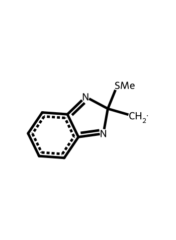 [CH2]C1(SC)N=c2ccccc2=N1